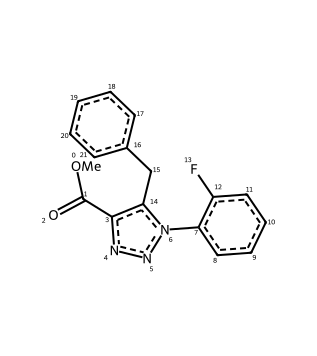 COC(=O)c1nnn(-c2ccccc2F)c1Cc1ccccc1